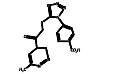 CC1=CC(C(=O)CSc2nnnn2-c2ccc(C(=O)O)cc2)CN=N1